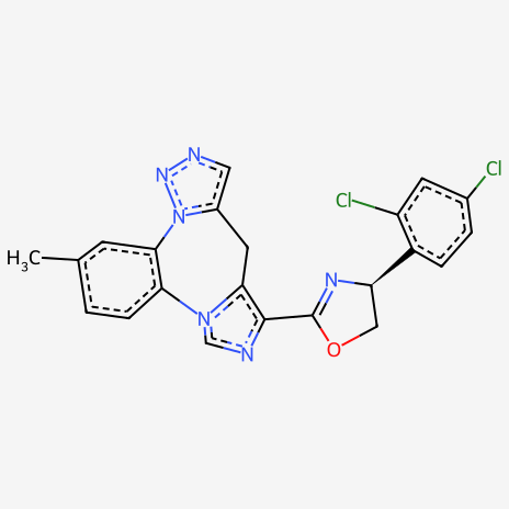 Cc1ccc2c(c1)-n1nncc1Cc1c(C3=N[C@@H](c4ccc(Cl)cc4Cl)CO3)ncn1-2